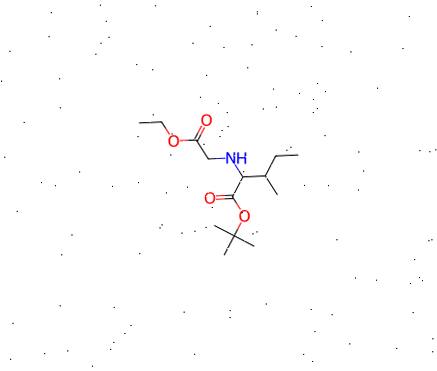 CCOC(=O)CNC(C(=O)OC(C)(C)C)C(C)CC